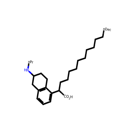 CCCCCCCCCCCCCCCCCCCCC(C(=O)O)c1cccc2c1CCC(NCCC)C2